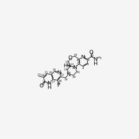 CNC(=O)c1ccc2c(n1)COC[C@H]1CN(Cc3ncc4cc(C)c(=O)[nH]c4c3F)CCN21